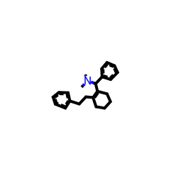 CN(C)C(C1=C(CCc2ccccc2)CCCC1)c1ccccc1